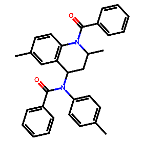 Cc1ccc(N(C(=O)c2ccccc2)C2CC(C)N(C(=O)c3ccccc3)c3ccc(C)cc32)cc1